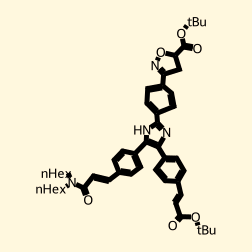 CCCCCCN(CCCCCC)C(=O)C=Cc1ccc(-c2[nH]c(-c3ccc(C4=NOC(C(=O)OC(C)(C)C)C4)cc3)nc2-c2ccc(C=CC(=O)OC(C)(C)C)cc2)cc1